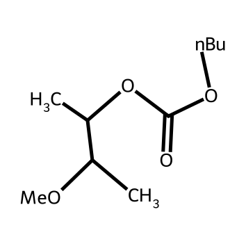 CCCCOC(=O)OC(C)C(C)OC